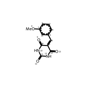 COc1cccc(C=C2C(=O)NC(=O)NC2=O)c1